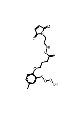 C=C(CCCOc1ccc(C)cc1SOOO)ONCCN1C(=O)C=CC1=O